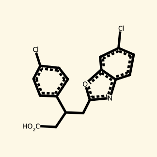 O=C(O)CC(Cc1nc2ccc(Cl)cc2o1)c1ccc(Cl)cc1